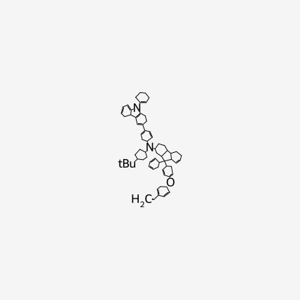 C=CC1=CCC(OC2=CCC(C3(C4C=CC=CC4)C4C=CCCC4C4CCC(N(C5C=CC(C6=CC7=C(CC6)N(C6=CCCCC6)C6=CC=CCC67)=CC5)C5CCC(C(C)(C)C)CC5)CC43)C=C2)C=C1